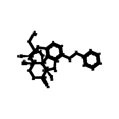 CC(C)CN1CC[C@]23c4c5ccc(OCc6ccccc6)c4O[C@H]2C(=O)CC[C@@]3(O)[C@H]1C5